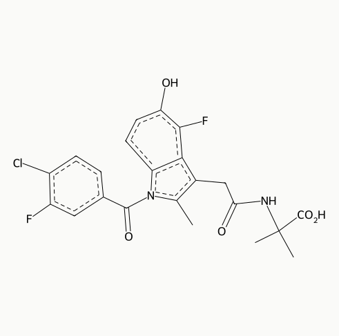 Cc1c(CC(=O)NC(C)(C)C(=O)O)c2c(F)c(O)ccc2n1C(=O)c1ccc(Cl)c(F)c1